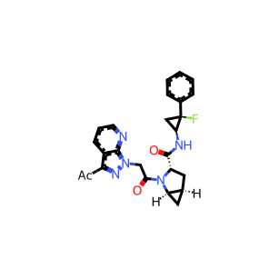 CC(=O)c1nn(CC(=O)N2[C@@H]3C[C@@H]3C[C@H]2C(=O)N[C@H]2C[C@]2(F)c2ccccc2)c2ncccc12